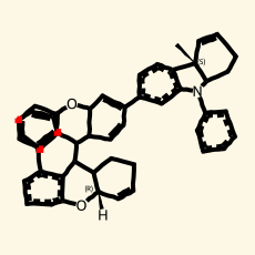 C[C@@]12C=CCCC1N(c1ccccc1)c1cc(C3=CC4OC5=CCCC=C5C(C5c6c(cccc6C6=CCCC=C6)O[C@H]6C=CCCC56)C4C=C3)ccc12